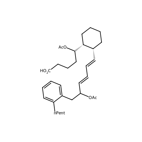 CCCCCc1ccccc1CC(/C=C/C=C/[C@H]1CCCC[C@H]1C(CCCC(=O)O)OC(C)=O)OC(C)=O